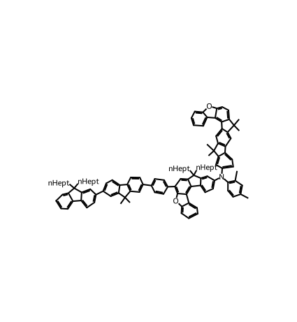 CCCCCCCC1(CCCCCCC)c2ccccc2-c2ccc(-c3ccc4c(c3)C(C)(C)c3cc(-c5ccc(-c6cc7c(c8c6oc6ccccc68)-c6ccc(N(c8ccc9c(c8)C(C)(C)c8cc%10c(cc8-9)C(C)(C)c8ccc9oc%11ccccc%11c9c8-%10)c8ccc(C)cc8C)cc6C7(CCCCCCC)CCCCCCC)cc5)ccc3-4)cc21